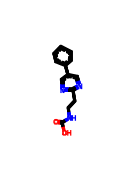 O=C(O)NCCc1ncc(-c2ccccc2)cn1